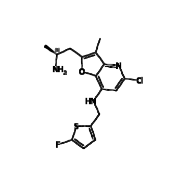 Cc1c(C[C@H](C)N)oc2c(NCc3ccc(F)s3)cc(Cl)nc12